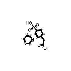 O=C(O)Cc1ccc(S(=O)(=O)O)cc1.c1cncnc1